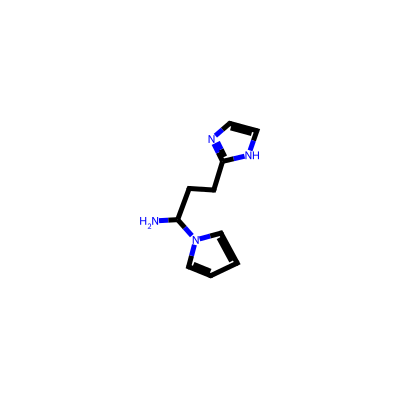 NC(CCc1ncc[nH]1)n1cccc1